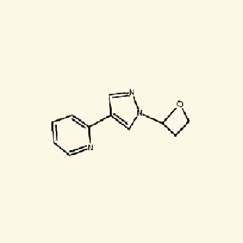 c1ccc(-c2cnn(C3CCO3)c2)nc1